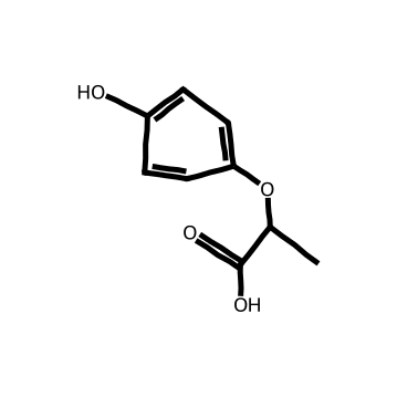 CC(Oc1ccc(O)cc1)C(=O)O